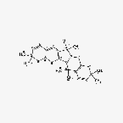 CC1(C)C=CC2=C(CC3=C(C4=C(C=C5C=CC(C)(C)CC5C4)C3(C)C)C2(C)C)C1